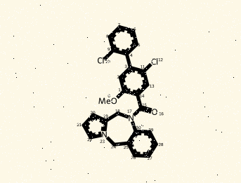 COc1cc(-c2ccccc2Cl)c(Cl)cc1C(=O)N1Cc2cccn2Cc2ccccc21